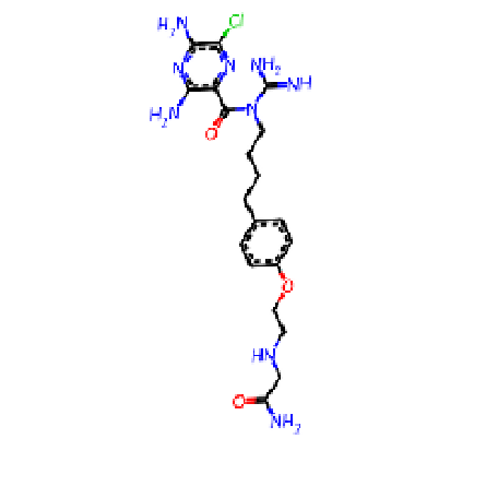 N=C(N)N(CCCCc1ccc(OCCNCC(N)=O)cc1)C(=O)c1nc(Cl)c(N)nc1N